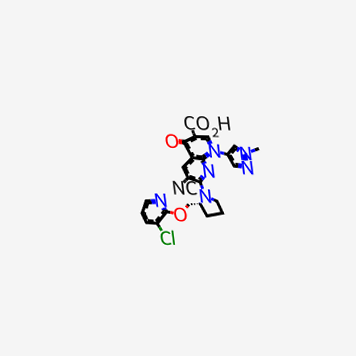 Cn1cc(-n2cc(C(=O)O)c(=O)c3cc(C#N)c(N4CCC[C@@H]4COc4ncccc4Cl)nc32)cn1